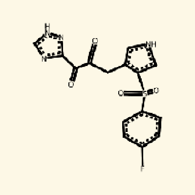 O=C(Cc1c[nH]cc1S(=O)(=O)c1ccc(F)cc1)C(=O)c1nc[nH]n1